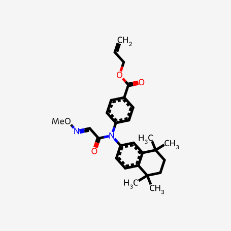 C=CCOC(=O)c1ccc(N(C(=O)C=NOC)c2ccc3c(c2)C(C)(C)CCC3(C)C)cc1